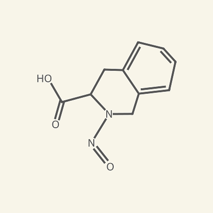 O=NN1Cc2ccccc2CC1C(=O)O